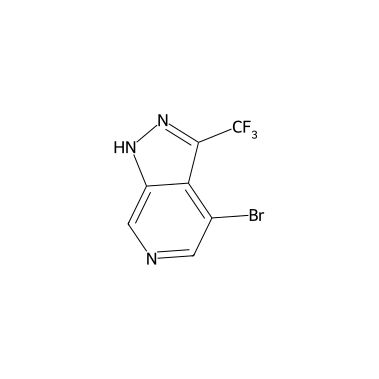 FC(F)(F)c1n[nH]c2cncc(Br)c12